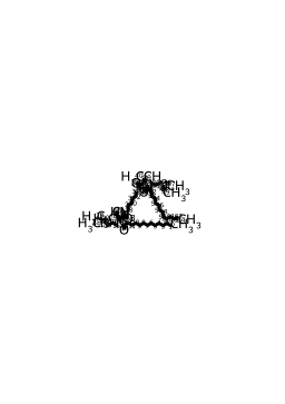 CCCCCCCCCCCCCC(=O)N(CCCN(CC)CC)C(C(=O)NCCCCCCNC(=O)C(C(C)C)N(CCCN(CC)CC)C(=O)CCCCCCCCCCCCC)C(C)C